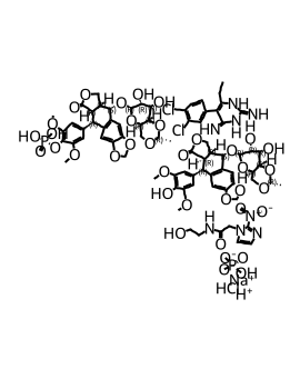 CCc1[nH]c(=N)[nH]c(=N)c1-c1ccc(Cl)c(Cl)c1.COc1cc([C@@H]2c3cc4c(cc3[C@@H](O[C@@H]3O[C@@H]5CO[C@@H](C)O[C@H]5[C@H](O)[C@H]3O)[C@H]3COC(=O)[C@H]23)OCO4)cc(OC)c1O.COc1cc([C@@H]2c3cc4c(cc3[C@@H](O[C@@H]3O[C@@H]5CO[C@@H](C)O[C@H]5[C@H](O)[C@H]3O)[C@H]3COC(=O)[C@H]23)OCO4)cc(OC)c1OP(=O)(O)O.Cl.O=C(Cn1ccnc1[N+](=O)[O-])NCCO.O=P([O-])([O-])O.[H+].[Na+]